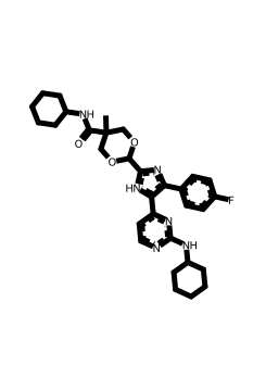 CC1(C(=O)NC2CCCCC2)COC(c2nc(-c3ccc(F)cc3)c(-c3ccnc(NC4CCCCC4)n3)[nH]2)OC1